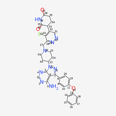 Nc1ncnc2c1c(-c1ccc(Oc3ccccc3)cc1)nn2C1CCN(Cc2nncc(C3CCC(=O)NC3=O)c2F)CC1